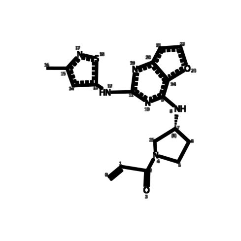 C=CC(=O)N1CC[C@@H](Nc2nc(Nc3cc(C)ns3)nc3ccoc23)C1